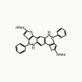 CCCCCCc1cc2c(s1)-c1cc3c(cc1NB2c1ccccc1)-c1sc(CCCCCC)cc1B(c1ccccc1)N3